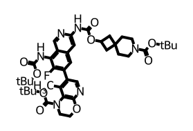 Cc1c(-c2cc3cc(NC(=O)OC4CC5(CCN(C(=O)OC(C)(C)C)CC5)C4)ncc3c(NC(=O)OC(C)(C)C)c2F)cnc2c1N(C(=O)OC(C)(C)C)CCO2